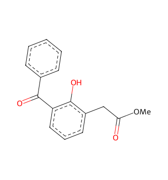 COC(=O)Cc1cccc(C(=O)c2ccccc2)c1O